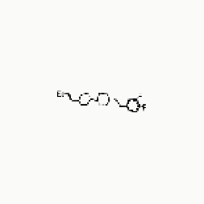 CCC=C[C@H]1CC[C@H]([C@H]2CC[C@H](CCc3ccc(F)c(F)c3)CC2)CC1